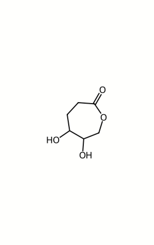 O=C1CCC(O)C(O)CO1